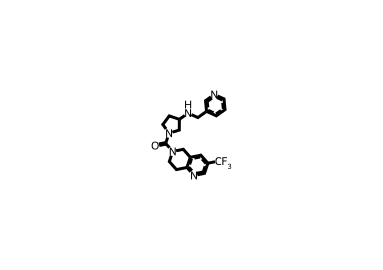 O=C(N1CCc2ncc(C(F)(F)F)cc2C1)N1CCC(NCc2cccnc2)C1